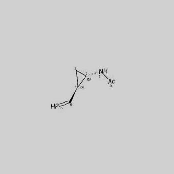 CC(=O)N[C@H]1C[C@@H]1C=P